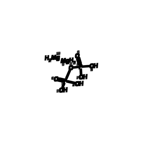 O=P(O)(O)OP(=O)(O)O.[MgH2].[MgH2]